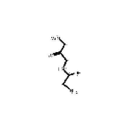 CNCC(=O)CNC(O)CN